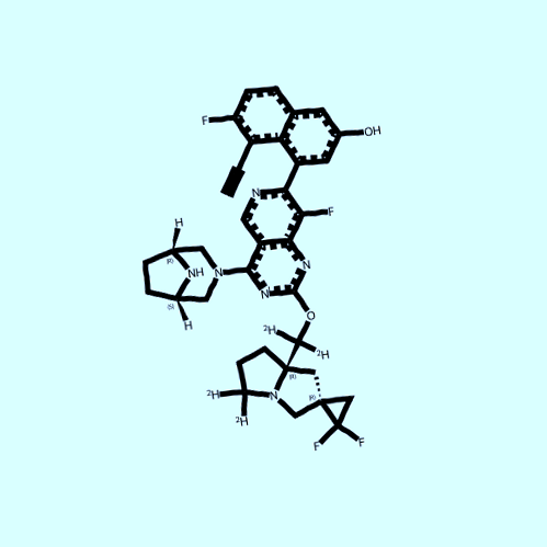 [2H]C1([2H])CC[C@]2(C([2H])([2H])Oc3nc(N4C[C@H]5CC[C@@H](C4)N5)c4cnc(-c5cc(O)cc6ccc(F)c(C#C)c56)c(F)c4n3)C[C@]3(CN12)CC3(F)F